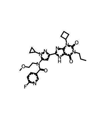 CCCn1c(=O)c2[nH]c(-c3cc(N(CCOC)C(=O)c4ccc(F)nc4)n(C4CC4)n3)nc2n(C2CCC2)c1=O